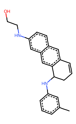 Cc1cccc(NC2CC=Cc3cc4ccc(NCCO)cc4cc32)c1